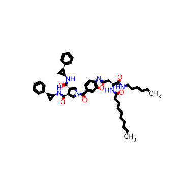 CCCCCCCCCC(=O)N[C@@H](Cc1nc2ccc(C(=O)N3C[C@@H](C(=O)N[C@H]4C[C@@H]4c4ccccc4)[C@H](C(=O)N[C@H]4C[C@@H]4c4ccccc4)C3)cc2o1)C(=O)NCCCCCC